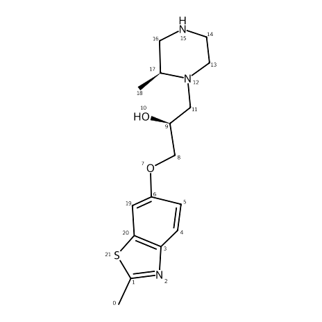 Cc1nc2ccc(OC[C@@H](O)CN3CCNC[C@@H]3C)cc2s1